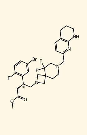 COC(=O)C[C@H](CN1CC2(CCN(Cc3ccc4c(n3)NCCC4)CC2(F)F)C1)c1cc(Br)ccc1F